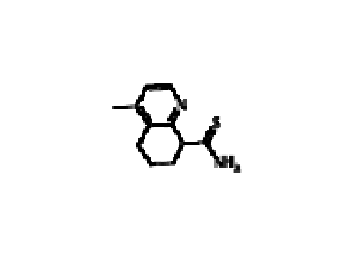 Cc1ccnc2c1CCCC2C(N)=S